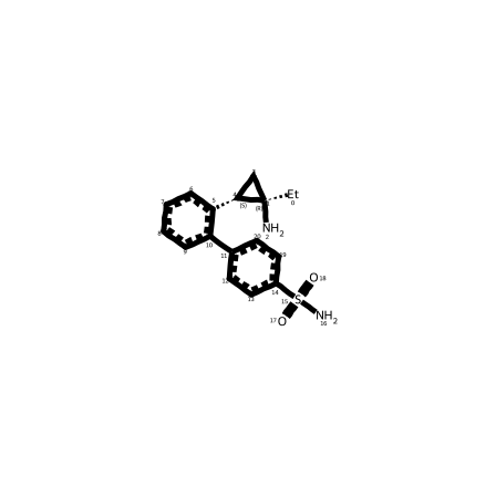 CC[C@@]1(N)C[C@H]1c1ccccc1-c1ccc(S(N)(=O)=O)cc1